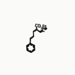 C=C=CC(CCCc1ccccc1)C(=O)OCC